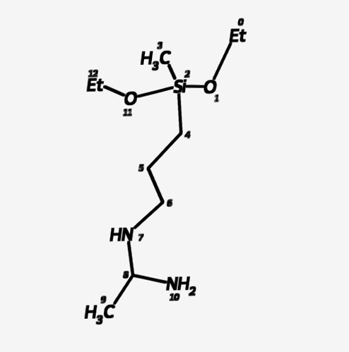 CCO[Si](C)(CCCNC(C)N)OCC